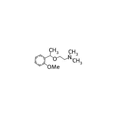 COc1ccccc1C(C)OCCN(C)C